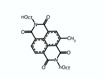 CCCCCCCCN1C(=O)c2ccc3c4c(c(C)cc(c24)C1=O)C(=O)N(CCCCCCCC)C3=O